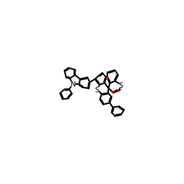 c1ccc(-c2ccc3c(c2)C2(c4ccccc4Sc4ccccc42)c2cccc(-c4ccc5c(c4)c4ccccc4n5-c4ccccc4)c2S3)cc1